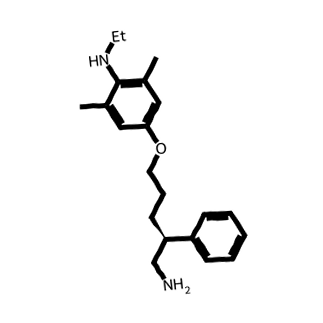 CCNc1c(C)cc(OCCC[C@H](CN)c2ccccc2)cc1C